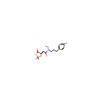 CON(CCCc1ccc(F)cc1)C(=O)C=C1OC(C)(C)OC1=O